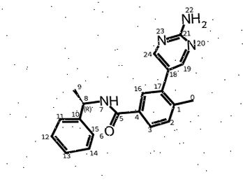 Cc1ccc(C(=O)N[C@H](C)c2ccccc2)cc1-c1cnc(N)nc1